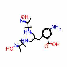 CC(=NO)C(C)(C)NCC(CNC(C)(C)C(C)=NO)Cc1ccc(N)cc1C(=O)O